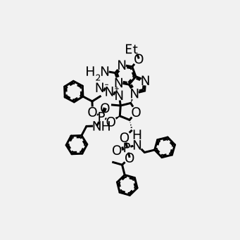 CCOc1nc(N)nc2c1ncn2[C@@H]1O[C@H](COP(=O)(NCc2ccccc2)OC(C)c2ccccc2)[C@@H](OP(=O)(NCc2ccccc2)OC(C)c2ccccc2)C1(C)N=[N+]=[N-]